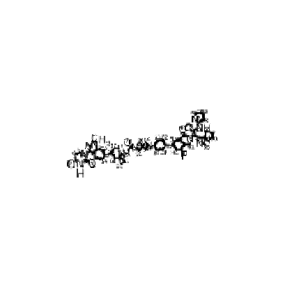 Cn1nc(N2CCC(=O)NC2=O)c2ccc(C3CCN(CC(=O)N4CC5(C4)CN(c4ccc(-c6cc(F)c7c(c6)C(=O)N(C(C(=O)Nc6ccccn6)c6ncn8c6CCC8)C7)cc4)C5)C4(CC4)C3)cc21